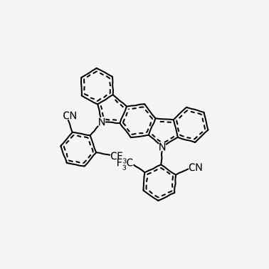 N#Cc1cccc(C(F)(F)F)c1-n1c2ccccc2c2cc3c4ccccc4n(-c4c(C#N)cccc4C(F)(F)F)c3cc21